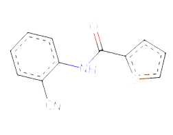 N#Cc1ccccc1NC(=O)c1cccs1